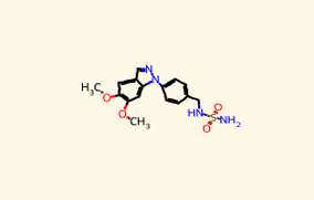 COc1cc2cnn(-c3ccc(CNS(N)(=O)=O)cc3)c2cc1OC